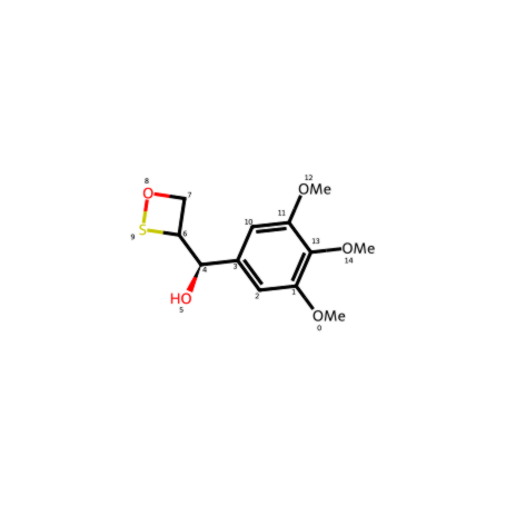 COc1cc([C@@H](O)C2COS2)cc(OC)c1OC